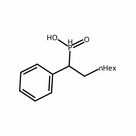 CCCCCCCC(c1ccccc1)[PH](=O)O